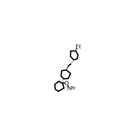 CCCOC1([C@H]2CC[C@H](CC[C@H]3CC[C@H](CC)CC3)CC2)CCCCC1